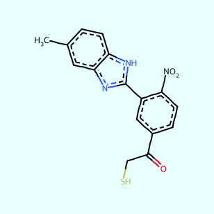 Cc1ccc2[nH]c(-c3cc(C(=O)CS)ccc3[N+](=O)[O-])nc2c1